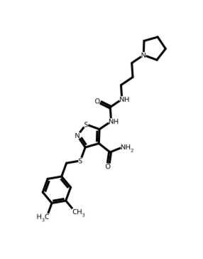 Cc1ccc(CSc2nsc(NC(=O)NCCCN3CCCC3)c2C(N)=O)cc1C